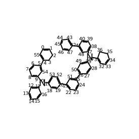 C1=CCCC(c2cccc(N(c3ccccc3)c3ccc(-c4cccc(-c5ccc(N(C6=CC=CCC6)c6cccc(-c7ccccc7)c6)cc5)c4)cc3)c2)=C1